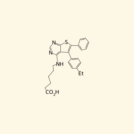 CCc1ccc(-c2c(-c3ccccc3)sc3ncnc(NCCCCCC(=O)O)c23)cc1